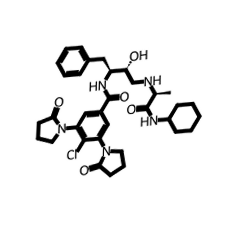 C[C@H](NC[C@@H](O)[C@H](Cc1ccccc1)NC(=O)c1cc(N2CCCC2=O)c(Cl)c(N2CCCC2=O)c1)C(=O)NC1CCCCC1